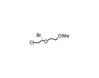 COCCO[C@@H](Br)CCl